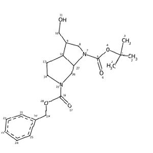 CC(C)(C)OC(=O)N1CC(CO)C2CCN(C(=O)OCc3ccccc3)CC21